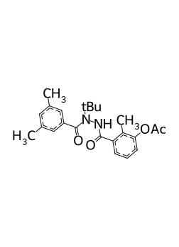 CC(=O)Oc1cccc(C(=O)NN(C(=O)c2cc(C)cc(C)c2)C(C)(C)C)c1C